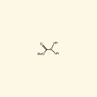 [CH2]OC(=O)N(CCC)CCC